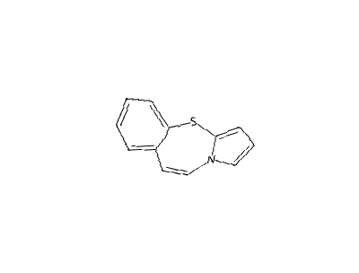 C1=Cn2cccc2Sc2ccccc21